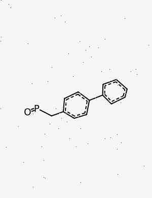 O=PCc1ccc(-c2ccccc2)cc1